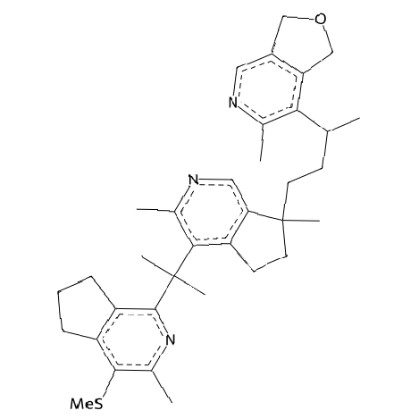 CSc1c(C)nc(C(C)(C)c2c(C)ncc3c2CCC3(C)CCC(C)c2c(C)ncc3c2COC3)c2c1CCC2